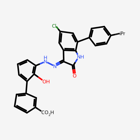 CC(C)c1ccc(-c2cc(Cl)cc3c2NC(=O)C3=NNc2cccc(-c3cccc(C(=O)O)c3)c2O)cc1